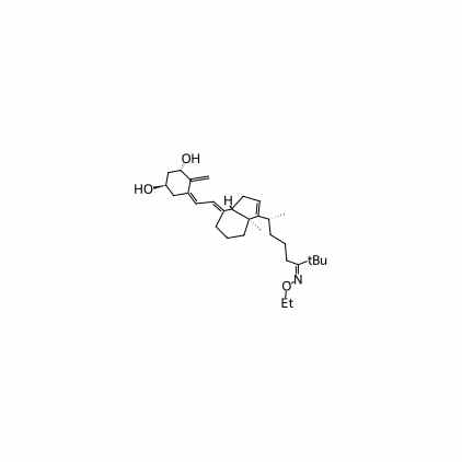 C=C1/C(=C\C=C2/CCC[C@]3(C)C([C@H](C)CCC/C(=N\OCC)C(C)(C)C)=CC[C@@H]23)C[C@@H](O)C[C@@H]1O